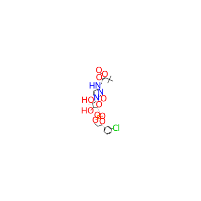 CC(C)(C)c1oc(=O)oc1CNc1ccn([C@@H]2O[C@H](COP3(=O)OCC[C@@H](c4cccc(Cl)c4)O3)[C@@H](O)[C@@]2(C)O)c(=O)n1